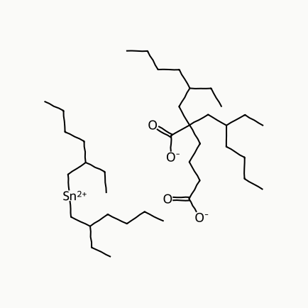 CCCCC(CC)CC(CCCC(=O)[O-])(CC(CC)CCCC)C(=O)[O-].CCCCC(CC)[CH2][Sn+2][CH2]C(CC)CCCC